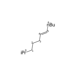 [CH2]C(C)CCC/C=C/CCCC